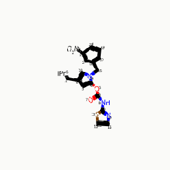 CC(C)Cc1cc(OC(=O)Nc2nccs2)n(Cc2cccc([N+](=O)[O-])c2)c1